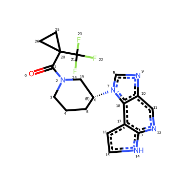 O=C(N1CCC[C@@H](n2cnc3cnc4[nH]ccc4c32)C1)C1(C(F)(F)F)CC1